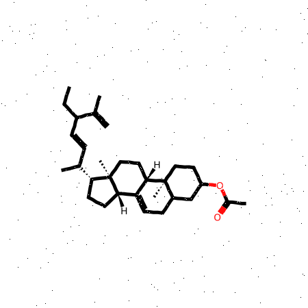 C=C(C)C(/C=C/C(C)[C@H]1CC[C@H]2C3=CCC4CC(OC(C)=O)CC[C@]4(C)[C@H]3CC[C@]12C)CC